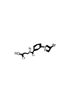 O=C(O)CCNC(=O)c1cccc(-n2cc(Br)cn2)c1